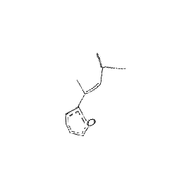 C/C(=C\C(C)C)c1ccco1